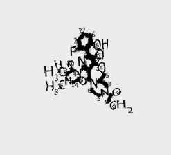 C=CC(=O)N1CCN2C(=O)c3c(N4CCN(C)[C@@H](C)[C@H]4C)nc(-c4c(O)cccc4F)c(Cl)c3OCC2C1